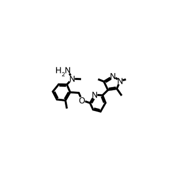 Cc1cccc(N(C)N)c1COc1cccc(-c2c(C)nn(C)c2C)n1